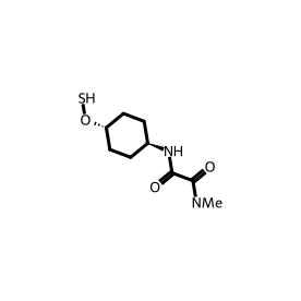 CNC(=O)C(=O)N[C@H]1CC[C@H](OS)CC1